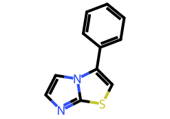 c1ccc(-c2csc3nccn23)cc1